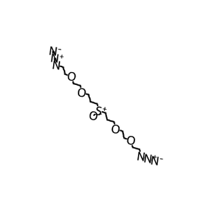 [N-]=[N+]=NCCOCCOCCC[S+]([O-])CCCOCCOCCN=[N+]=[N-]